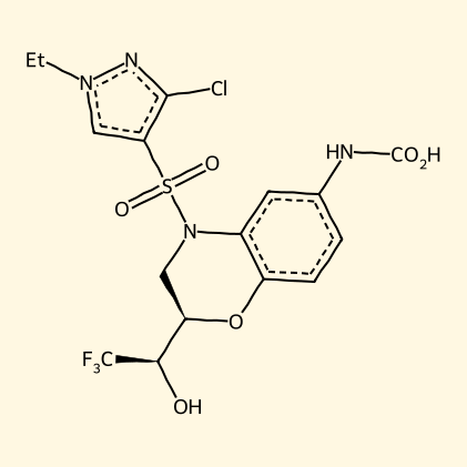 CCn1cc(S(=O)(=O)N2C[C@H]([C@@H](O)C(F)(F)F)Oc3ccc(NC(=O)O)cc32)c(Cl)n1